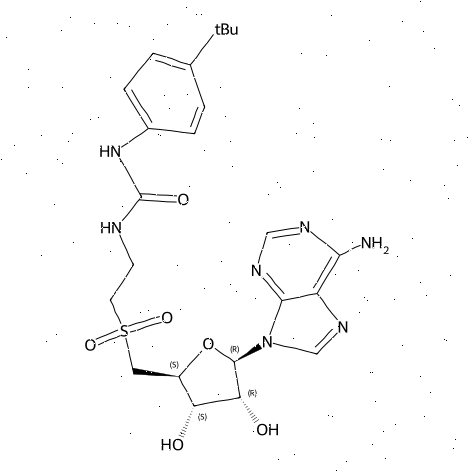 CC(C)(C)c1ccc(NC(=O)NCCS(=O)(=O)C[C@H]2O[C@@H](n3cnc4c(N)ncnc43)[C@H](O)[C@@H]2O)cc1